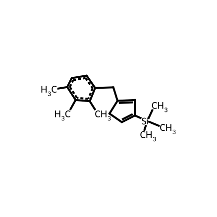 Cc1ccc(CC2=CC([Si](C)(C)C)=CC2)c(C)c1C